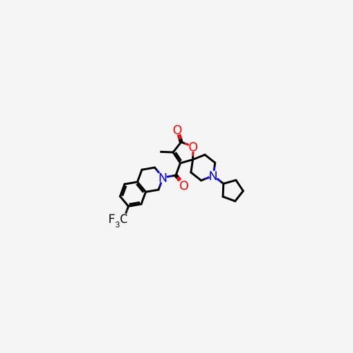 CC1=C(C(=O)N2CCc3ccc(C(F)(F)F)cc3C2)C2(CCN(C3CCCC3)CC2)OC1=O